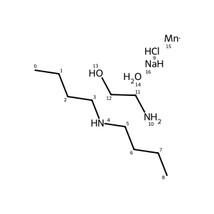 CCCCNCCCC.Cl.NCCO.O.[Mn].[NaH]